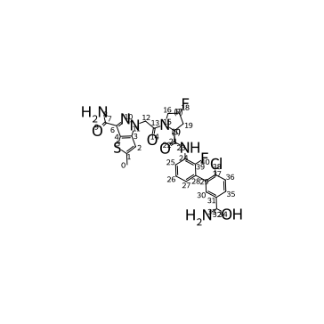 Cc1cc2c(s1)c(C(N)=O)nn2CC(=O)N1C[C@H](F)C[C@H]1C(=O)Nc1cccc(-c2cc(C(N)O)ccc2Cl)c1F